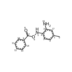 Cc1ccc(NOC(=O)c2ccccc2)c(N)c1